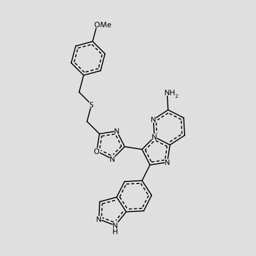 COc1ccc(CSCc2nc(-c3c(-c4ccc5[nH]ncc5c4)nc4ccc(N)nn34)no2)cc1